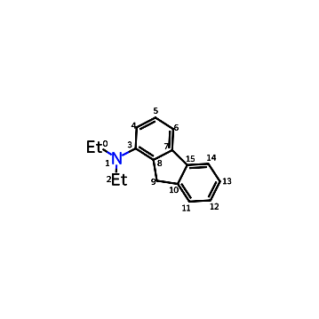 CCN(CC)c1cccc2c1Cc1ccccc1-2